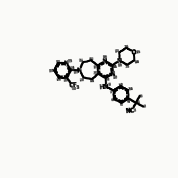 CC(C)(C#N)c1ccc(Nc2nc(N3CCOCC3)nc3c2CCN(c2ncccc2C(F)(F)F)CC3)cc1